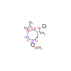 COc1ccc(C[C@H]2NC(=O)/C=C/C[C@@H](C(C)[C@H]3O[C@@H]3c3ccccc3)CC(=O)[C@H](CC(C)C)OC(=O)CCNC2=O)cc1